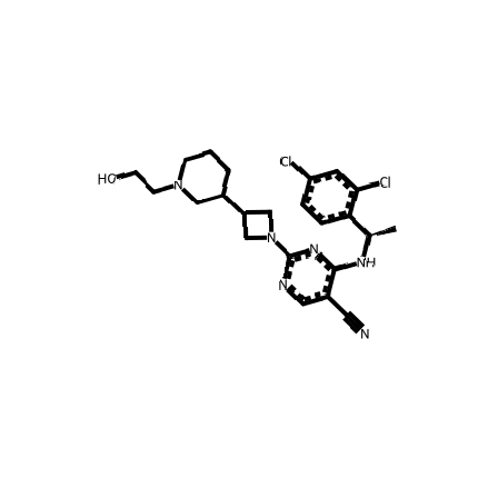 C[C@@H](Nc1nc(N2CC(C3CCCN(CCO)C3)C2)ncc1C#N)c1ccc(Cl)cc1Cl